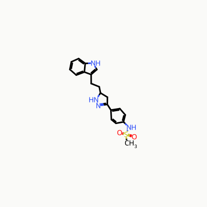 CS(=O)(=O)Nc1ccc(C2=NNC(CCc3c[nH]c4ccccc34)C2)cc1